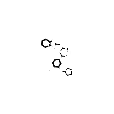 COc1ccc([C@H]2CNC(=O)[C@@H](Cc3nc4ccccc4[nH]3)C2)cc1OC1CCCC1